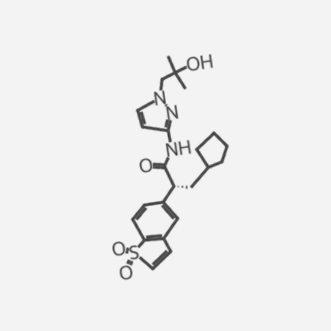 CC(C)(O)Cn1ccc(NC(=O)[C@H](CC2CCCC2)c2ccc3c(c2)C=CS3(=O)=O)n1